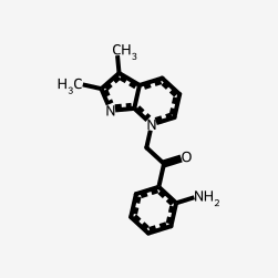 Cc1nc2n(CC(=O)c3ccccc3N)cccc-2c1C